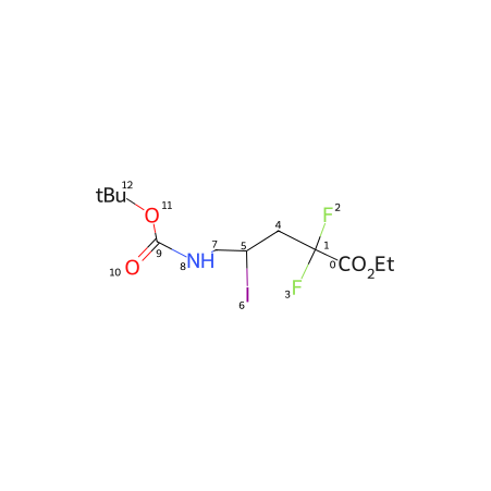 CCOC(=O)C(F)(F)CC(I)CNC(=O)OC(C)(C)C